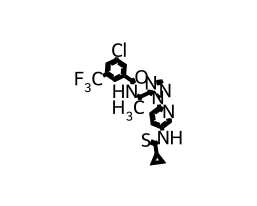 CC(NC(=O)c1cc(Cl)cc(C(F)(F)F)c1)c1ncnn1-c1ccc(NC(=S)C2CC2)cn1